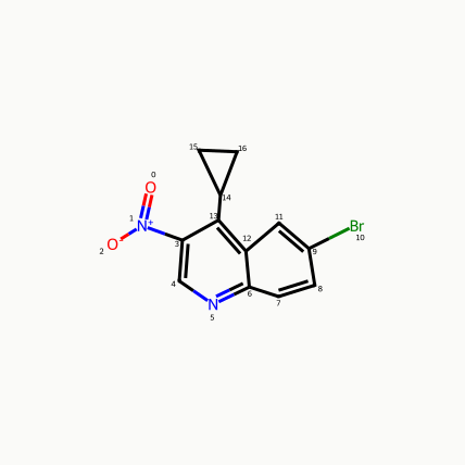 O=[N+]([O-])c1cnc2ccc(Br)cc2c1C1CC1